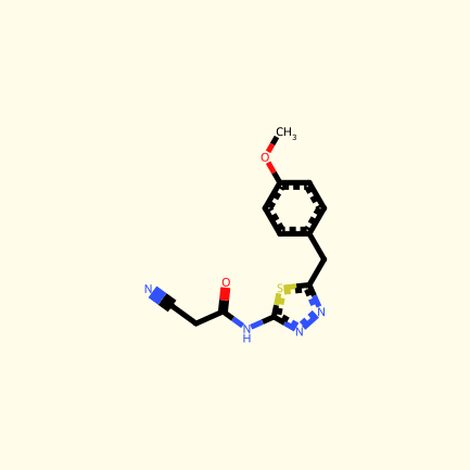 COc1ccc(Cc2nnc(NC(=O)CC#N)s2)cc1